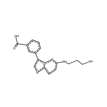 O=C(O)c1cccc(-c2cnc3ccc(NCCCO)nn23)c1